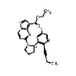 CCC#Cc1ncc(F)cc1[C@H]1CCCN1c1ccn2ncc(C(=O)OCC)c2n1